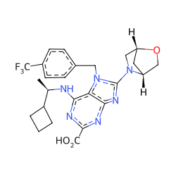 C[C@@H](Nc1nc(C(=O)O)nc2nc(N3C[C@H]4C[C@@H]3CO4)n(Cc3ccc(C(F)(F)F)cc3)c12)C1CCC1